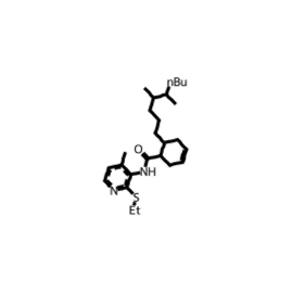 CCCCC(C)C(C)CCCC1CC=CCC1C(=O)Nc1c(C)ccnc1SCC